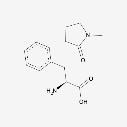 CN1CCCC1=O.N[C@@H](Cc1ccccc1)C(=O)O